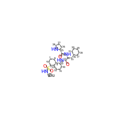 CC(C)(C)NS(=O)(=O)c1cccc2c(NC(=O)C(Cc3ccccc3)NC(=O)c3ccc[nH]3)cccc12